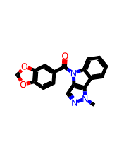 Cn1ncc2c1c1ccccc1n2C(=O)c1ccc2c(c1)OCO2